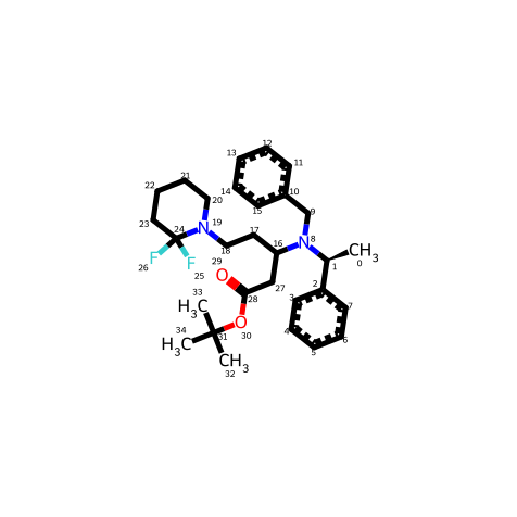 C[C@@H](c1ccccc1)N(Cc1ccccc1)C(CCN1CCCCC1(F)F)CC(=O)OC(C)(C)C